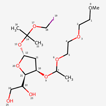 COCCOCCOC(C)O[C@@H]1C[C@@H](OC(C)(C)OCI)O[C@@H]1C(O)CO